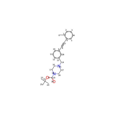 Cc1ccccc1C#Cc1cccc(CN2CCN(C(=O)OC(C)(C)C)CC2)c1